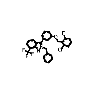 Fc1cccc(Cl)c1COc1cccc(-c2c3cccc(C(F)(F)F)c3nn2Cc2ccccc2)c1